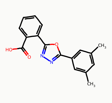 Cc1cc(C)cc(-c2nnc(-c3ccccc3C(=O)O)o2)c1